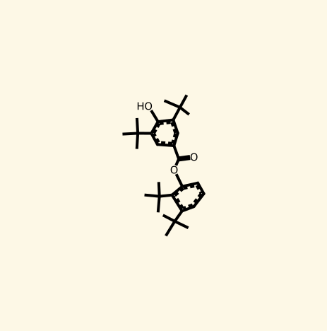 CC(C)(C)c1cc(C(=O)Oc2cccc(C(C)(C)C)c2C(C)(C)C)cc(C(C)(C)C)c1O